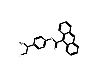 CCC(C)c1ccc(OC(=O)c2c3ccccc3cc3ccccc23)cc1